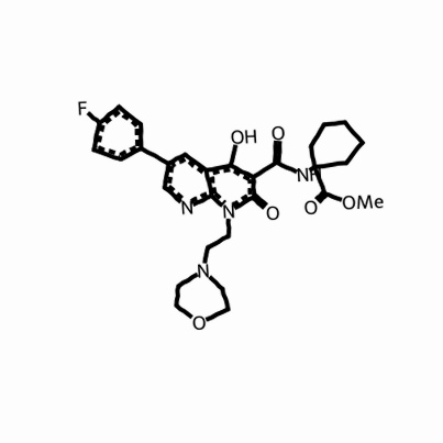 COC(=O)C1(NC(=O)c2c(O)c3cc(-c4ccc(F)cc4)cnc3n(CCN3CCOCC3)c2=O)CCCCC1